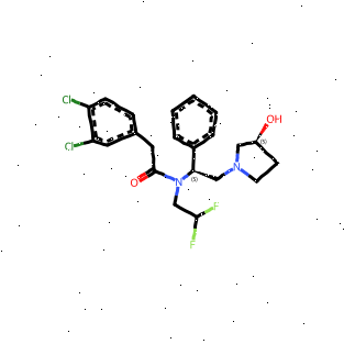 O=C(Cc1ccc(Cl)c(Cl)c1)N(CC(F)F)[C@H](CN1CC[C@H](O)C1)c1ccccc1